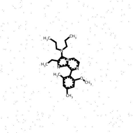 CCCN(CCC)c1c(CC)nc2c(-c3c(C)cc(C)cc3OC)nccn12